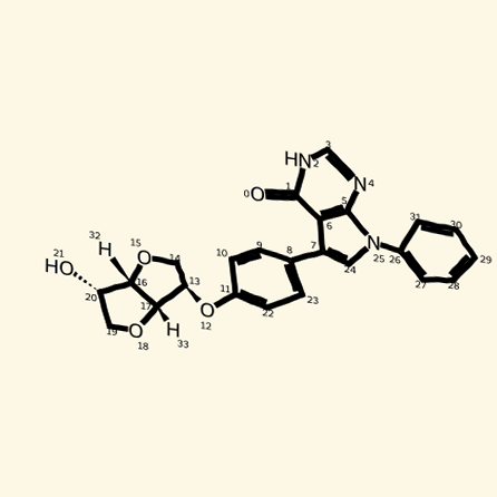 O=c1[nH]cnc2c1c(-c1ccc(O[C@@H]3CO[C@@H]4[C@H]3OC[C@@H]4O)cc1)cn2-c1ccccc1